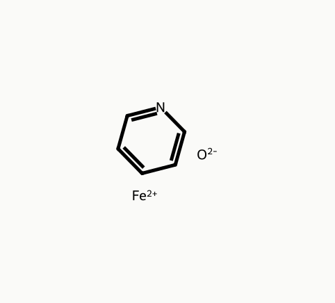 [Fe+2].[O-2].c1ccncc1